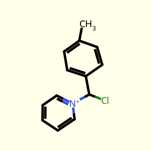 Cc1ccc(C(Cl)[n+]2ccccc2)cc1